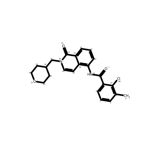 Cc1cccc(C(=O)Nc2cccc3c(=O)n(CC4CCOCC4)ccc23)c1Cl